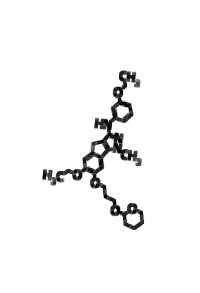 CCOc1cccc(Nc2nn(C)c3c2Cc2cc(OCC)c(OCCCOC4CCCCO4)cc2-3)c1